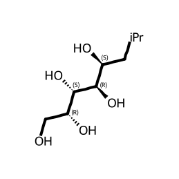 CC(C)C[C@H](O)[C@@H](O)[C@@H](O)[C@H](O)CO